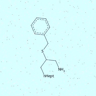 CCCCCCCCC(CN)SCc1ccccc1